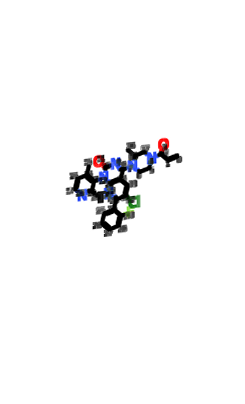 C=CC(=O)N1CCN(c2nc(=O)n(-c3c(C)ccnc3C(C)C)c3nc(-c4ccccc4F)c(Cl)cc23)[C@@H](C)C1